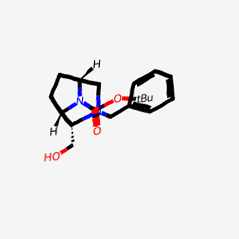 CC(C)(C)OC(=O)N1[C@@H]2CC[C@H]1[C@@H](CO)N(Cc1ccccc1)C2